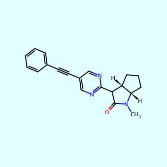 CN1C(=O)C(c2ncc(C#Cc3ccccc3)cn2)[C@@H]2CCC[C@@H]21